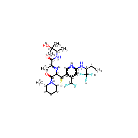 CC[C@H](Nc1cc(C(F)F)c(C(=S)C(/N=C(\C)C(=O)N[C@H](C)C(C)(C)O)C(=O)N2CCCC[C@@H]2C)cn1)C(F)(F)F